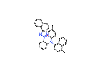 Cc1ccc(N(c2ccccc2-n2nc3ccc4ccccc4c3n2)c2ccc(C)c3ccccc23)cc1